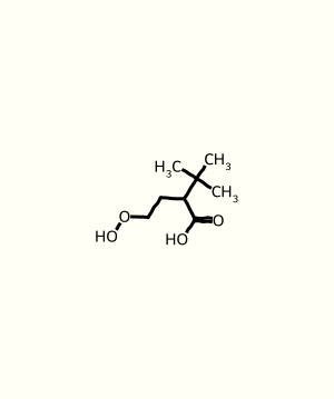 CC(C)(C)C(CCOO)C(=O)O